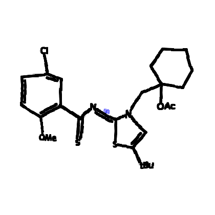 COc1ccc(Cl)cc1C(=S)/N=c1\sc(C(C)(C)C)cn1CC1(OC(C)=O)CCCCC1